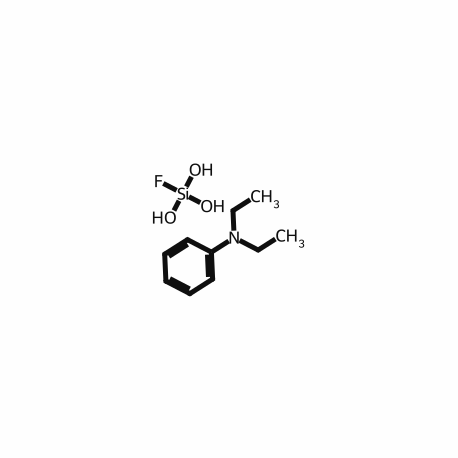 CCN(CC)c1ccccc1.O[Si](O)(O)F